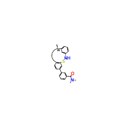 C[C@@H]1CCCCc2ccc(-c3cccc(C(=O)N(C)C)c3)cc2SNc2cccc1c2